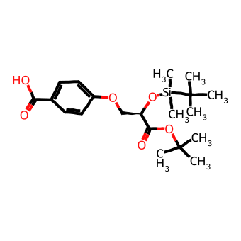 CC(C)(C)OC(=O)[C@@H](COc1ccc(C(=O)O)cc1)O[Si](C)(C)C(C)(C)C